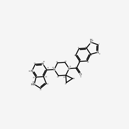 O=C(c1ccc2[nH]cnc2c1)N1CCN(c2ncnc3[nH]ccc23)CC12CC2